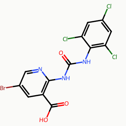 O=C(Nc1ncc(Br)cc1C(=O)O)Nc1c(Cl)cc(Cl)cc1Cl